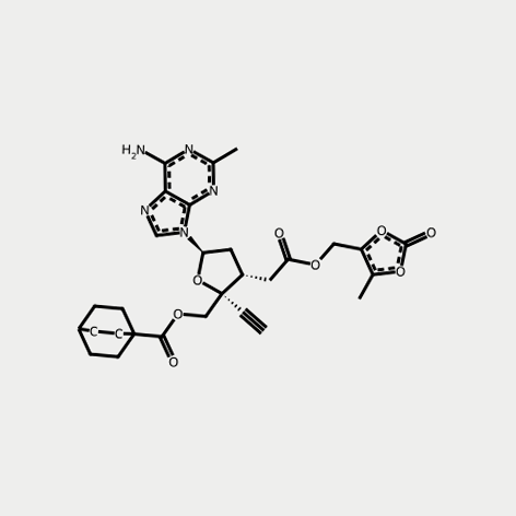 C#C[C@]1(COC(=O)C23CCC(CC2)CC3)O[C@@H](n2cnc3c(N)nc(C)nc32)C[C@@H]1CC(=O)OCc1oc(=O)oc1C